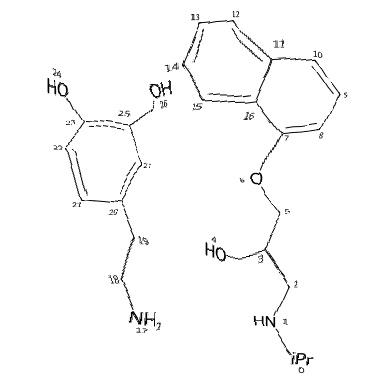 CC(C)NCC(O)COc1cccc2ccccc12.NCCc1ccc(O)c(O)c1